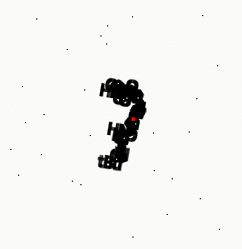 CC(C)(C)c1cnc(CSc2cnc(NC(=O)C3CCN(C4CCN(Cc5ccc6c(c5)C(=O)N(N5CCC(=O)NC5=O)C6=O)CC4)CC3)s2)o1